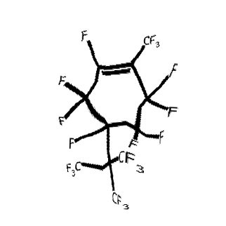 FC1=C(C(F)(F)F)C(F)(F)C(F)(F)C(F)(C(C(F)(F)F)(C(F)(F)F)C(F)(F)F)C1(F)F